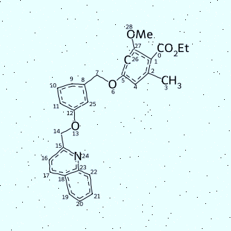 CCOC(=O)c1c(C)cc(OCc2cccc(OCc3ccc4ccccc4n3)c2)cc1OC